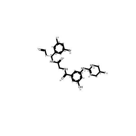 O=CC[C@@H](NC(=O)CNC(=O)c1cc(O)cc(NC2=NCC(F)CN2)c1)c1cc(Br)cc(I)c1